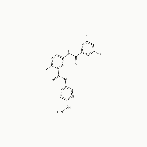 Cc1ccc(NC(=O)c2cc(F)cc(F)c2)cc1C(=O)Nc1cnc(NN)nc1